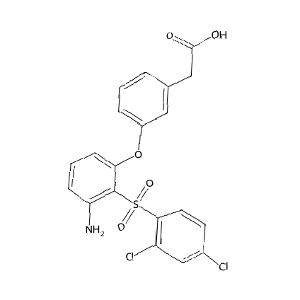 Nc1cccc(Oc2cccc(CC(=O)O)c2)c1S(=O)(=O)c1ccc(Cl)cc1Cl